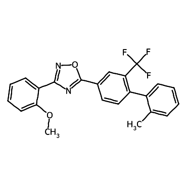 COc1ccccc1-c1noc(-c2ccc(-c3ccccc3C)c(C(F)(F)F)c2)n1